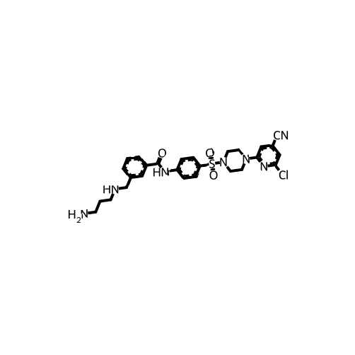 N#Cc1cc(Cl)nc(N2CCN(S(=O)(=O)c3ccc(NC(=O)c4cccc(CNCCCN)c4)cc3)CC2)c1